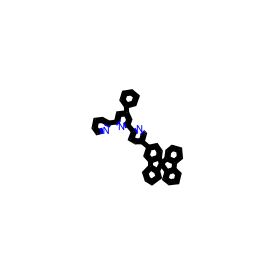 c1ccc(-c2cc(-c3ccccn3)nc(-c3ccc(-c4ccc5c(c4)-c4ccccc4C54c5ccccc5-c5ccccc54)cn3)c2)cc1